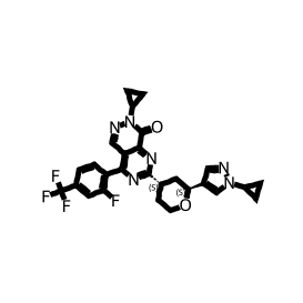 O=c1c2nc([C@H]3CCO[C@H](c4cnn(C5CC5)c4)C3)nc(-c3ccc(C(F)(F)F)cc3F)c2cnn1C1CC1